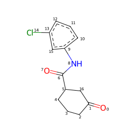 O=C1CCCC(C(=O)Nc2cccc(Cl)c2)C1